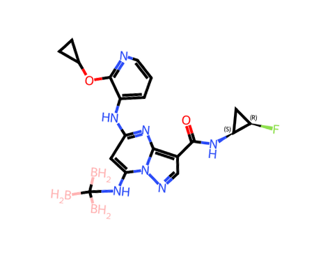 BC(B)(B)Nc1cc(Nc2cccnc2OC2CC2)nc2c(C(=O)N[C@H]3C[C@H]3F)cnn12